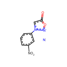 O=c1c[n+](-c2cccc([N+](=O)[O-])c2)[n-]o1.[N]